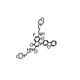 O=C(NCCCN1CCOCC1)c1cn2c3c(c(NCCCN4CCOCC4)c(F)cc3c1=O)Oc1cc3c(cc1-2)oc1ccccc13